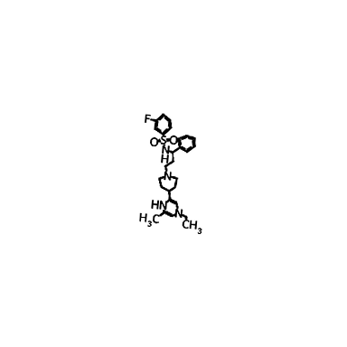 CCN1C=C(C)NC(C2CCN(CC[C@@H](NS(=O)(=O)c3cccc(F)c3)c3ccccc3)CC2)=C1